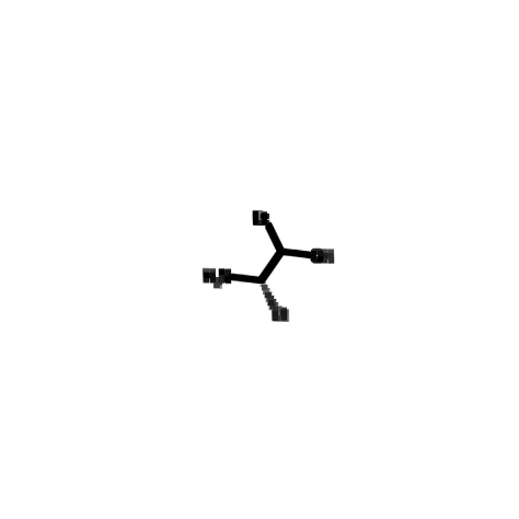 CCC(O)[C@@H](N)CC